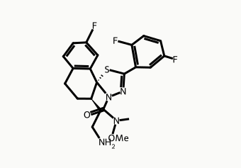 CON(C)C(=O)N1N=C(c2cc(F)ccc2F)S[C@]12c1cc(F)ccc1CC[C@@H]2CCN